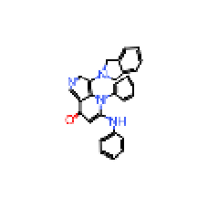 O=c1cc(Nc2ccccc2)n(-c2ccccc2)c2c(N3Cc4ccccc4C3)cncc12